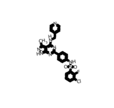 Cc1n[nH]c2nc(-c3ccc(NS(=O)(=O)c4cccc(Cl)c4F)cc3)nc(NCc3ccncc3)c12